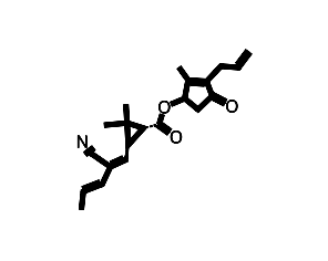 C=CCC1=C(C)C(OC(=O)[C@@H]2[C@@H](/C=C(C#N)/C=C/C)C2(C)C)CC1=O